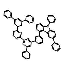 C1=C(c2ccccc2)C=C(c2ccccc2)CC1c1ccnc(-c2nc(-c3ccccc3)cc(-c3cccc(-c4cccc5c4c4cc(-c6ccccc6)ccc4n5-c4ccccc4)c3)n2)n1